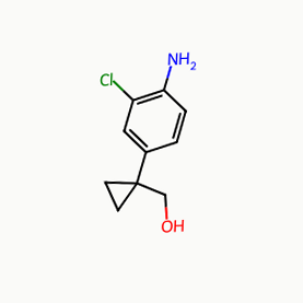 Nc1ccc(C2(CO)CC2)cc1Cl